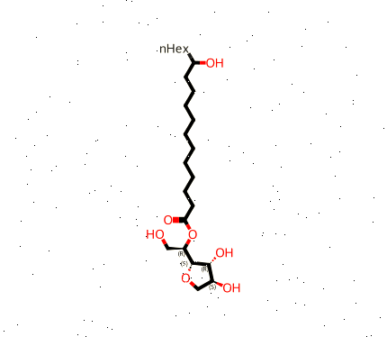 CCCCCCC(O)CCCCCCCCCCC(=O)O[C@H](CO)[C@H]1OC[C@H](O)[C@H]1O